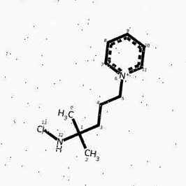 CC(C)(CCC[n+]1ccccc1)NCl